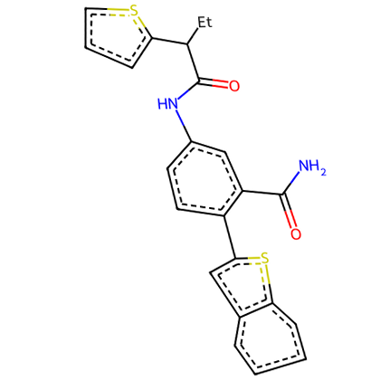 CCC(C(=O)Nc1ccc(-c2cc3ccccc3s2)c(C(N)=O)c1)c1cccs1